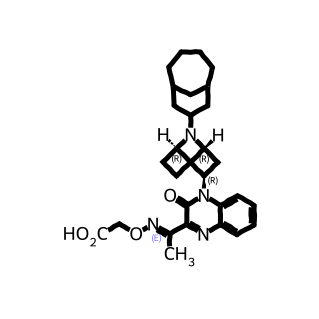 C/C(=N\OCC(=O)O)c1nc2ccccc2n([C@@H]2C[C@H]3N(C4CC5CCCCC(C5)C4)[C@@H]4CCC432)c1=O